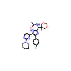 CC(=O)NC(c1nc(-c2ccc(F)cc2)c(-c2ccnc(N3CCCCC3)n2)[nH]1)C1(C)COCOC1